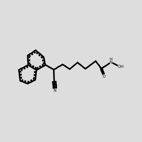 N#CC(CCCCCC(=O)NO)c1cccc2ccccc12